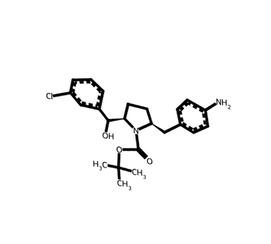 CC(C)(C)OC(=O)N1[C@H](Cc2ccc(N)cc2)CC[C@@H]1C(O)c1cccc(Cl)c1